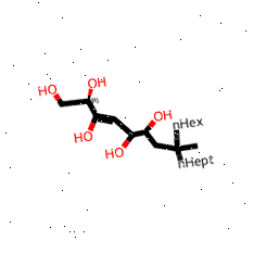 CCCCCCCC(C)(CCCCCC)CC(O)C(O)C=C(O)[C@H](O)CO